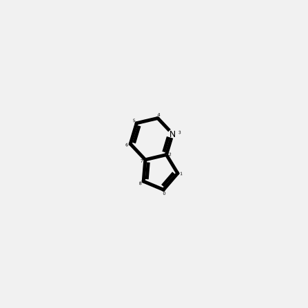 C1=CC2=NCC=CC2=C1